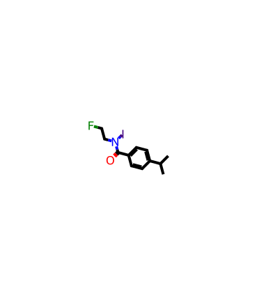 CC(C)c1ccc(C(=O)N(I)CCF)cc1